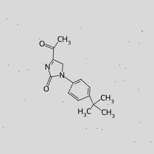 CC(=O)C1=NC(=O)N(c2ccc(C(C)(C)C)cc2)C1